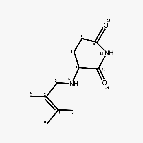 CC(C)=C(C)CNC1CCC(=O)NC1=O